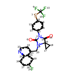 O=C1N(c2ccc(SC(F)(F)F)cc2)C(=O)C2(CC2)N1Cc1ccnc2ccc(F)cc12